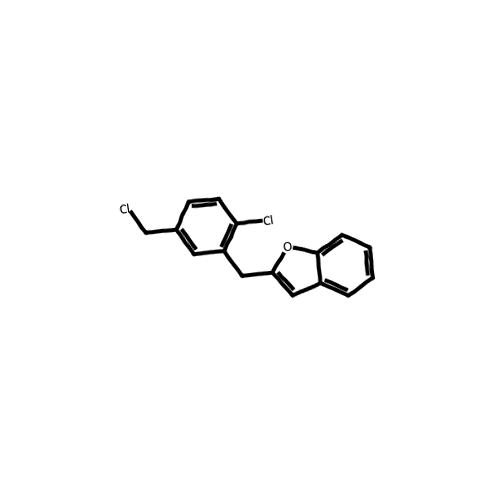 ClCc1ccc(Cl)c(Cc2cc3ccccc3o2)c1